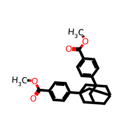 COC(=O)c1ccc(C23CC4CC(C2)CC(c2ccc(C(=O)OC)cc2)(C4)C3)cc1